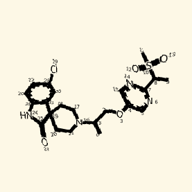 CC(COc1cnc(C(C)S(C)(=O)=O)nc1)N1CCC2(CC1)C(=O)Nc1ccc(Cl)cc12